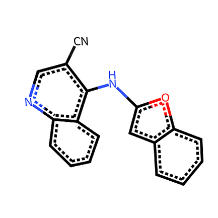 N#Cc1cnc2ccccc2c1Nc1cc2ccccc2o1